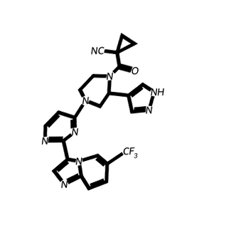 N#CC1(C(=O)N2CCN(c3ccnc(-c4cnc5ccc(C(F)(F)F)cn45)n3)CC2c2cn[nH]c2)CC1